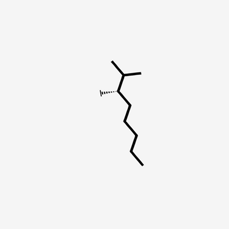 CCCCC[C@H](I)C(C)C